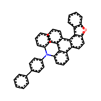 c1ccc(-c2ccc(N(c3ccccc3)c3cccc4c5ccc6oc7ccccc7c6c5c5ccccc5c34)cc2)cc1